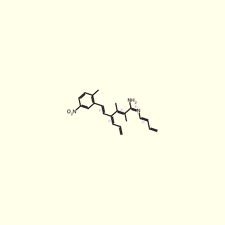 C=C/C=C(/C=C/c1cc([N+](=O)[O-])ccc1C)C(\C)=C(C)\C(N)=N/C=C/C=C